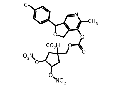 Cc1ncc2c(c1OC(=O)OCC1(C(=O)O)CC(O[N+](=O)[O-])C(O[N+](=O)[O-])C1)COC2c1ccc(Cl)cc1